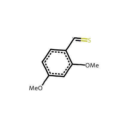 COc1ccc([C]=S)c(OC)c1